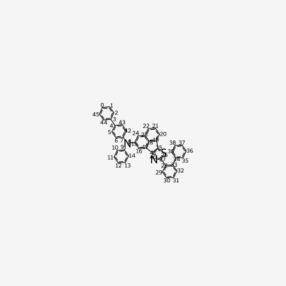 c1ccc(-c2ccc(N(c3ccccc3)c3cc4c5c(cccc5c3)-c3sc(-c5ccccc5-c5ccccc5)nc3-4)cc2)cc1